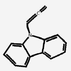 C=C=Cn1c2ccccc2c2ccccc21